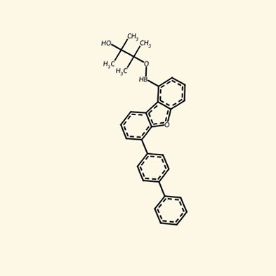 CC(C)(O)C(C)(C)OBc1cccc2oc3c(-c4ccc(-c5ccccc5)cc4)cccc3c12